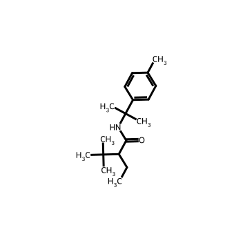 CCC(C(=O)NC(C)(C)c1ccc(C)cc1)C(C)(C)C